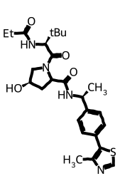 CCC(=O)N[C@H](C(=O)N1C[C@H](O)CC1C(=O)N[C@@H](C)c1ccc(-c2scnc2C)cc1)C(C)(C)C